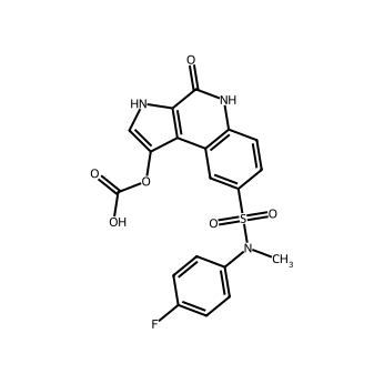 CN(c1ccc(F)cc1)S(=O)(=O)c1ccc2[nH]c(=O)c3[nH]cc(OC(=O)O)c3c2c1